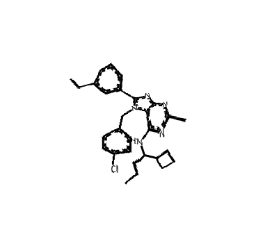 CCCC(Nc1nc(C)nc2nc(-c3cccc(CC)c3)n(Cc3ccc(Cl)cc3)c12)C1CCC1